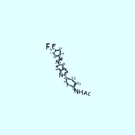 CC(=O)Nc1ccc(-c2nc3sc(N=Nc4ccc(C(F)(F)F)cc4)cc3s2)cc1